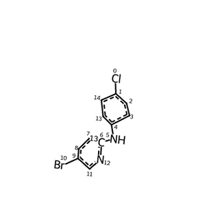 Clc1ccc(N[13c]2ccc(Br)cn2)cc1